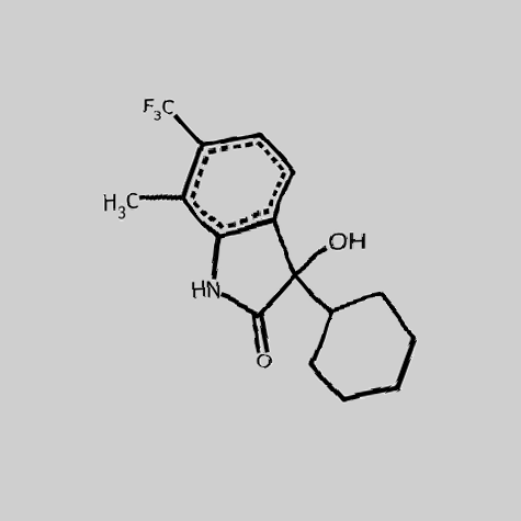 Cc1c(C(F)(F)F)ccc2c1NC(=O)C2(O)C1CCCCC1